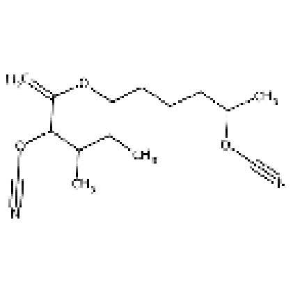 C=C(OCCCCC(C)OC#N)C(OC#N)C(C)CC